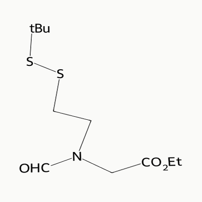 CCOC(=O)CN(C=O)CCSSC(C)(C)C